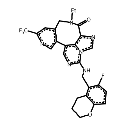 CCN1Cc2cc(C(F)(F)F)ncc2-c2cnc(NCc3c(F)ccc4c3CCCO4)n3cnc(c23)C1=O